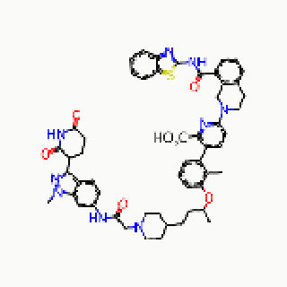 Cc1c(O[C@@H](C)CCC2CCN(CC(=O)Nc3ccc4c(C5CCC(=O)NC5=O)nn(C)c4c3)CC2)cccc1-c1ccc(N2CCc3cccc(C(=O)Nc4nc5ccccc5s4)c3C2)nc1C(=O)O